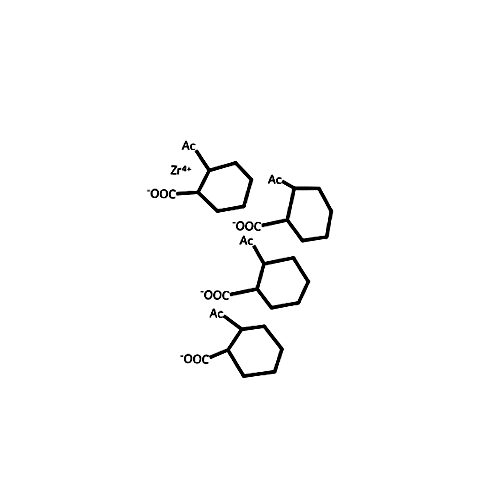 CC(=O)C1CCCCC1C(=O)[O-].CC(=O)C1CCCCC1C(=O)[O-].CC(=O)C1CCCCC1C(=O)[O-].CC(=O)C1CCCCC1C(=O)[O-].[Zr+4]